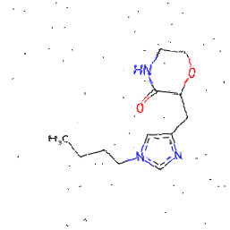 CCCCn1cnc(CC2OCCNC2=O)c1